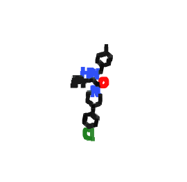 Cc1ccc(CNC(C(=O)N2CCC(c3ccc(Cl)cc3)CC2)C(C)C)cc1